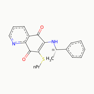 CCCSC1=C(N[C@@H](C)c2ccccc2)C(=O)c2cccnc2C1=O